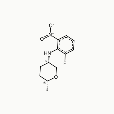 C[C@@H]1CC[C@H](Nc2c(F)cccc2[N+](=O)[O-])CO1